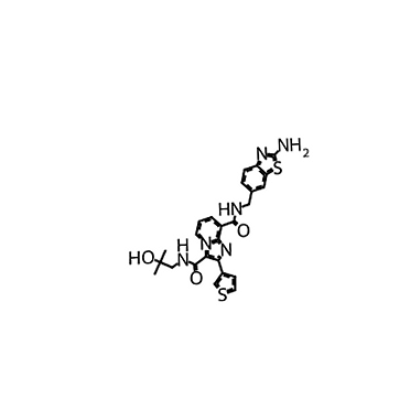 CC(C)(O)CNC(=O)c1c(-c2ccsc2)nc2c(C(=O)NCc3ccc4nc(N)sc4c3)cccn12